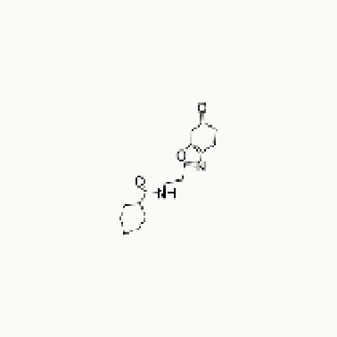 O=C1C=Cc2nc(CCNC(=O)C3CCCCC3)oc2C1